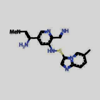 CN/C=C(\N)c1cnc(C=N)c(NSc2cnc3ccc(C)cn23)c1